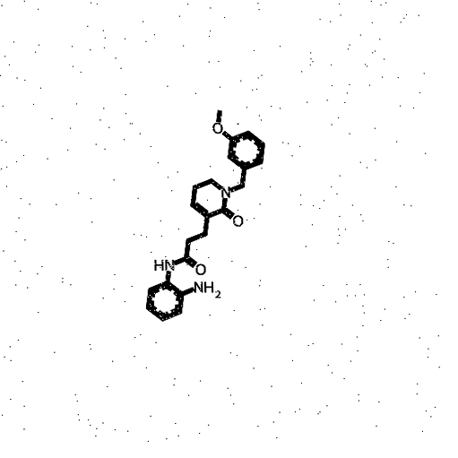 COc1cccc(CN2CCC=C(CCC(=O)Nc3ccccc3N)C2=O)c1